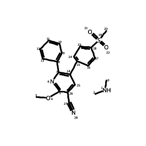 CNC.COc1nc(-c2ccccc2)c(-c2ccc(S(C)(=O)=O)cc2)cc1C#N